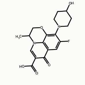 CC1COc2c(N3CCC(O)CC3)c(F)cc3c(=O)c(C(=O)O)cn1c23